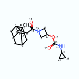 CC1C2CC3CC1CC(C2)C3(C)CC(=O)N1CC(OC(=O)NC2CC2)C1